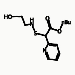 CCCCOC(=O)C(SNCCO)c1ccccn1